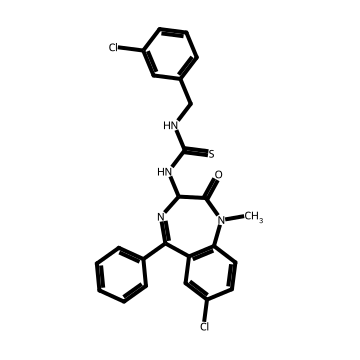 CN1C(=O)C(NC(=S)NCc2cccc(Cl)c2)N=C(c2ccccc2)c2cc(Cl)ccc21